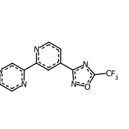 FC(F)(F)c1nc(-c2ccnc(-c3cnccn3)c2)no1